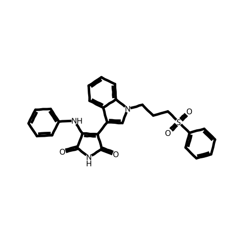 O=C1NC(=O)C(c2cn(CCCS(=O)(=O)c3ccccc3)c3ccccc23)=C1Nc1ccccc1